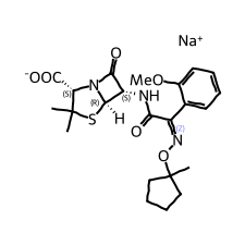 COc1ccccc1/C(=N/OC1(C)CCCC1)C(=O)N[C@H]1C(=O)N2[C@@H]1SC(C)(C)[C@@H]2C(=O)[O-].[Na+]